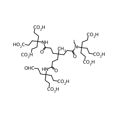 CC(CCC(=O)NC(CCC=O)(CCC(=O)O)CCC(=O)O)(CCC(=O)NC(CCC(=O)O)(CCC(=O)O)CCC(=O)O)CCC(=O)N(I)C(CCC(=O)O)(CCC(=O)O)CCC(=O)O